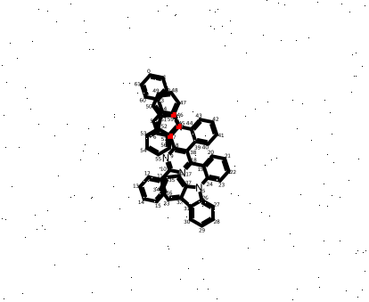 c1ccc(-c2ccc(-c3nc(-c4ccccc4)nc(-c4ccccc4-n4c5ccccc5c5ccccc54)c3-c3ccccc3-n3c4ccccc4c4ccccc43)cc2)cc1